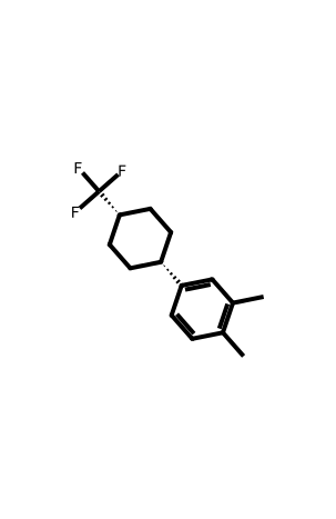 Cc1ccc([C@H]2CC[C@@H](C(F)(F)F)CC2)cc1C